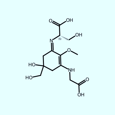 COC1=C(NCC(=O)O)CC(O)(CO)CC1=N[C@@H](CO)C(=O)O